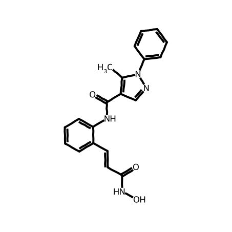 Cc1c(C(=O)Nc2ccccc2C=CC(=O)NO)cnn1-c1ccccc1